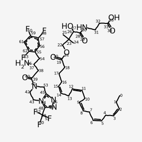 CC/C=C\C/C=C\C/C=C\C/C=C\C/C=C\CCCC(=O)OCC(C)(C)[C@@H](O)C(=O)NCCC(=O)O.N[C@@H](CC(=O)N1CCn2c(nnc2C(F)(F)F)C1)Cc1cc(F)c(F)cc1F